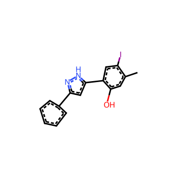 Cc1cc(O)c(-c2cc(-c3ccccc3)n[nH]2)cc1I